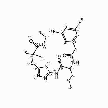 CCCC(NC(=O)Cc1cc(F)cc(F)c1)C(=O)Nc1nnc(SC(C)(C)C(=O)OCC)s1